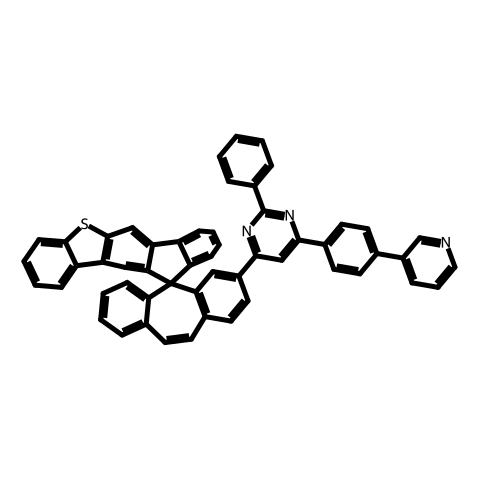 C1=Cc2ccc(-c3cc(-c4ccc(-c5cccnc5)cc4)nc(-c4ccccc4)n3)cc2C2(c3ccccc31)c1ccccc1-c1cc3sc4ccccc4c3cc12